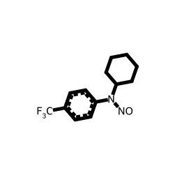 O=NN(c1ccc(C(F)(F)F)cc1)C1CCCCC1